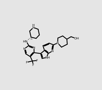 OCC1CCN(c2ccc3c(-c4nc(N[C@H]5CCCNC5)ncc4C(F)(F)F)c[nH]c3n2)CC1